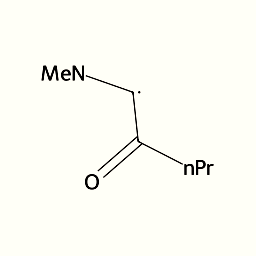 CCCC(=O)[CH]NC